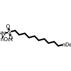 CCCCCCCCCCCCCCCCCCCCS(=O)(=O)NCCCCCCCC